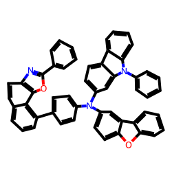 c1ccc(-c2nc3ccc4cccc(-c5ccc(N(c6ccc7oc8ccccc8c7c6)c6ccc7c8ccccc8n(-c8ccccc8)c7c6)cc5)c4c3o2)cc1